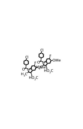 COc1cc2c(CC(=O)O)c(C)n(C(=O)c3ccc(Cl)cc3)c2cc1F.COc1cc2c(CC(=O)O)c(C)n(C(=O)c3ccc(Cl)cc3)c2cc1F